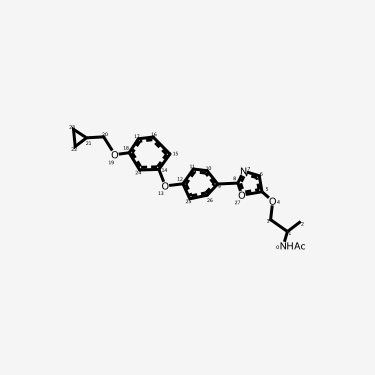 CC(=O)NC(C)COc1cnc(-c2ccc(Oc3cccc(OCC4CC4)c3)cc2)o1